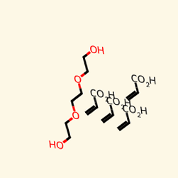 C=CC(=O)O.C=CC(=O)O.C=CC(=O)O.C=CC(=O)O.OCCOCCOCCO